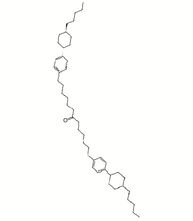 CCCCCC1CCC(c2ccc(CCCCCCC(=O)CCCCCCc3ccc([C@H]4CC[C@H](CCCCC)CC4)cc3)cc2)CC1